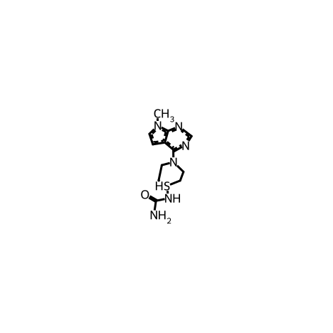 Cn1ccc2c(N3CC[SH](NC(N)=O)CC3)ncnc21